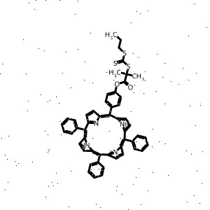 CCCSC(=S)SC(C)(C)C(=O)Oc1ccc(-c2c3nc(c(-c4ccccc4)c4ccc([nH]4)c(-c4ccccc4)c4nc(c(-c5ccccc5)c5ccc2[nH]5)C=C4)C=C3)cc1